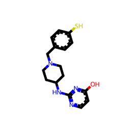 Oc1ccnc(NC2CCN(Cc3ccc(S)cc3)CC2)n1